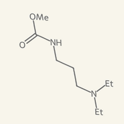 CCN(CC)CCCNC(=O)OC